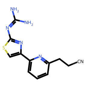 N#CCCc1cccc(-c2csc(N=C(N)N)n2)n1